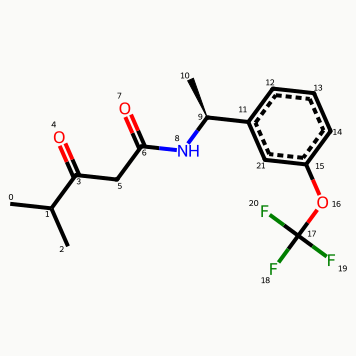 CC(C)C(=O)CC(=O)N[C@@H](C)c1cccc(OC(F)(F)F)c1